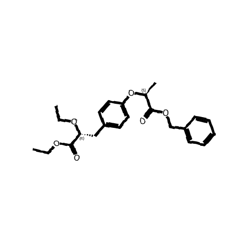 CCOC(=O)[C@@H](Cc1ccc(O[C@@H](C)C(=O)OCc2ccccc2)cc1)OCC